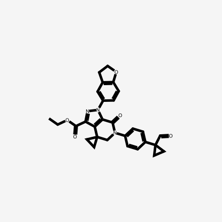 CCOC(=O)c1nn(-c2ccc3c(c2)CCO3)c2c1C1(CC1)CN(c1ccc(C3(C=O)CC3)cc1)C2=O